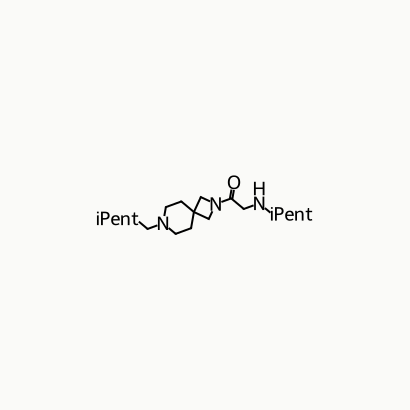 CCCC(C)CN1CCC2(CC1)CN(C(=O)CNC(C)CCC)C2